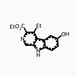 CCOC(=O)c1ncc2[nH]c3ccc(O)cc3c2c1CC